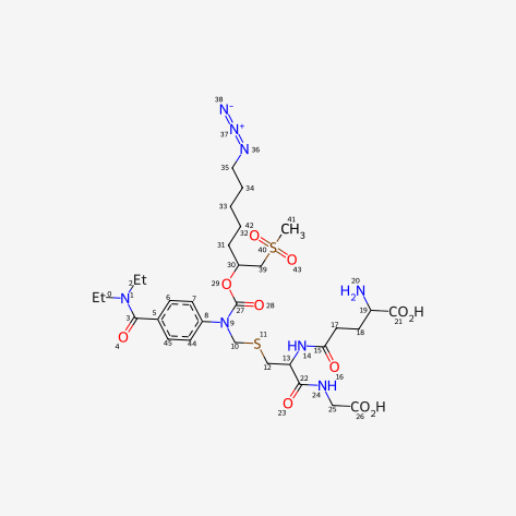 CCN(CC)C(=O)c1ccc(N(CSCC(NC(=O)CCC(N)C(=O)O)C(=O)NCC(=O)O)C(=O)OC(CCCCCN=[N+]=[N-])CS(C)(=O)=O)cc1